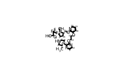 C[C@@H]1CNCCN1c1nccnc1OCCOc1cccnc1OC[C@@H]1CCCN1C.O=C(O)C(F)(F)F